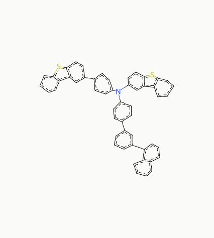 c1cc(-c2ccc(N(c3ccc(-c4ccc5sc6ccccc6c5c4)cc3)c3ccc4sc5ccccc5c4c3)cc2)cc(-c2cccc3ccccc23)c1